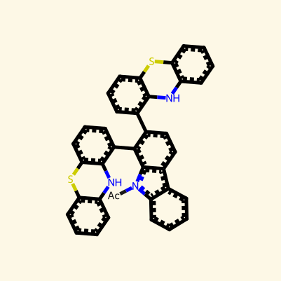 CC(=O)n1c2ccccc2c2ccc(-c3cccc4c3Nc3ccccc3S4)c(-c3cccc4c3Nc3ccccc3S4)c21